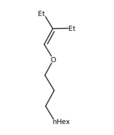 CCCCCCCCCOC=C(CC)CC